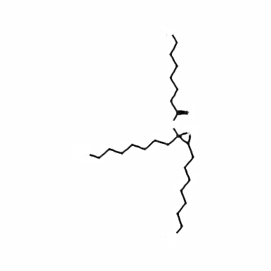 CCCCCCCCC1OC1(CCCCCCCC)OC(=O)CCCCCCC